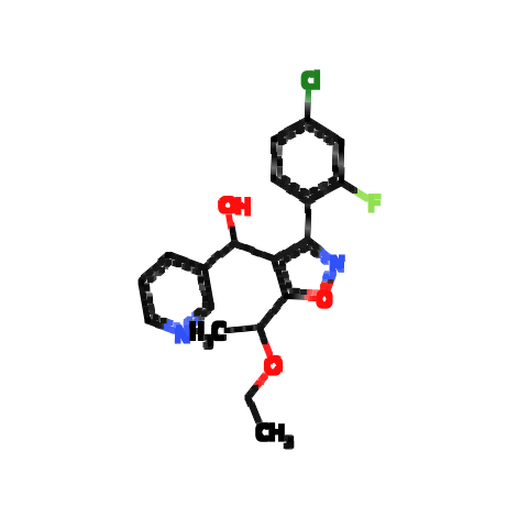 CCOC(C)c1onc(-c2ccc(Cl)cc2F)c1C(O)c1cccnc1